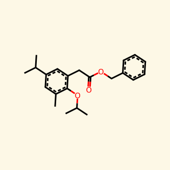 Cc1cc(C(C)C)cc(CC(=O)OCc2ccccc2)c1OC(C)C